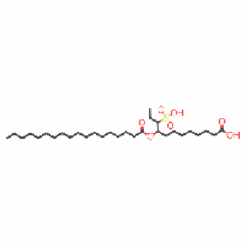 CCCCCCCCCCCCCCCCCC(=O)OC(CCCCCCCC(=O)O)C(CC)S(=O)(=O)O